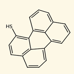 Sc1ccc2cccc3c4cccc5cccc(c1c23)c54